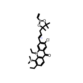 C=CB1OC(C)(C)C(C)(C/C=C/c2cc3c(cc2Cl)c(=O)c2ccc(CC)c(N(C)C)c2n3CC)O1